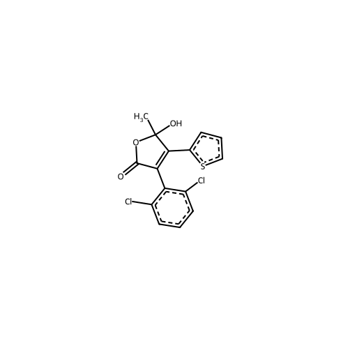 CC1(O)OC(=O)C(c2c(Cl)cccc2Cl)=C1c1cccs1